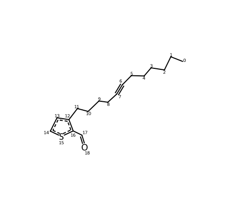 CCCCCCC#CCCCCc1ccsc1C=O